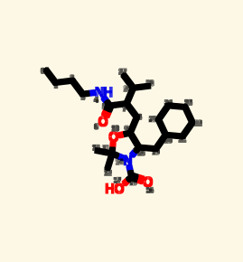 CCCCNC(=O)C(CC1OC(C)(C)N(C(=O)O)C1CC1CCCCC1)C(C)C